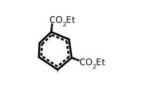 CCOC(=O)c1[c]ccc(C(=O)OCC)c1